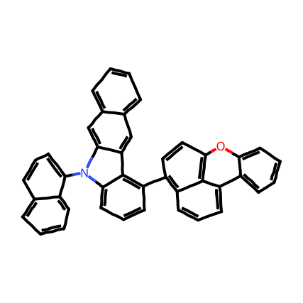 c1ccc2c(c1)Oc1ccc(-c3cccc4c3c3cc5ccccc5cc3n4-c3cccc4ccccc34)c3cccc-2c13